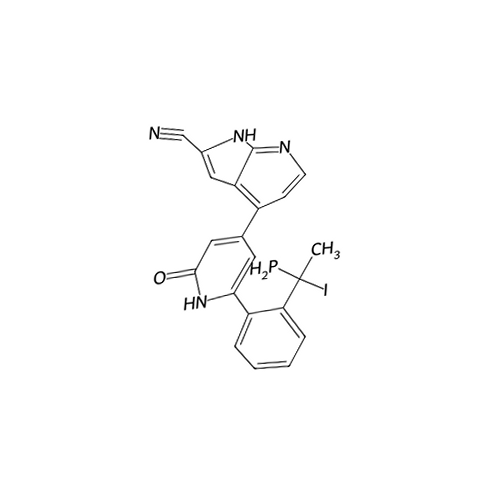 CC(P)(I)c1ccccc1-c1cc(-c2ccnc3[nH]c(C#N)cc23)cc(=O)[nH]1